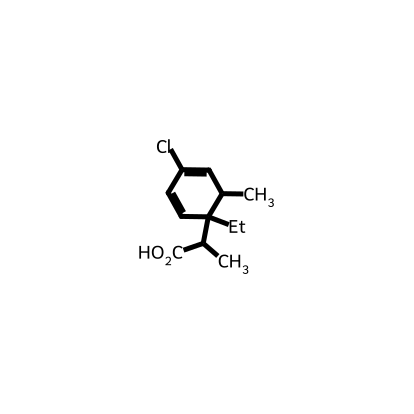 CCC1(C(C)C(=O)O)C=CC(Cl)=CC1C